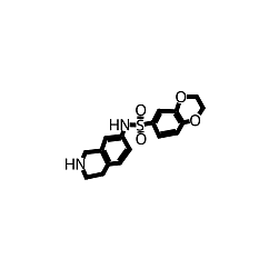 O=S(=O)(Nc1ccc2c(c1)CNCC2)c1ccc2c(c1)OCCO2